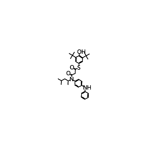 CC(C)CC(C)N(C(=O)CC(=O)Sc1cc(C(C)(C)C)c(O)c(C(C)(C)C)c1)c1ccc(Nc2ccccc2)cc1